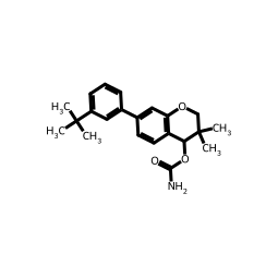 CC(C)(C)c1cccc(-c2ccc3c(c2)OCC(C)(C)C3OC(N)=O)c1